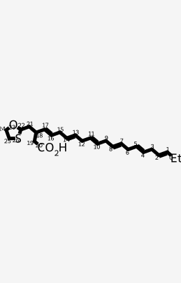 CCC=CCC=CCC=CCC=CCC=CCC=CC(CC(=O)O)CC1OCCS1